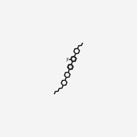 CCCCCC1CCC(C2CCC(c3ccc(-c4ccc(C5CCC(CCC)CC5)cc4F)cc3)CC2)CC1